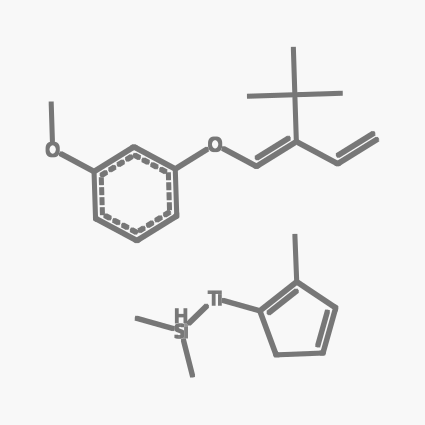 C=CC(=COc1cccc(OC)c1)C(C)(C)C.CC1=[C]([Ti][SiH](C)C)CC=C1